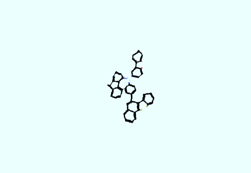 CC1(C)c2ccccc2-c2c(N(c3ccc(-c4cc5ccccc5c5sc6ccccc6c45)cc3)c3ccc4oc5ccccc5c4c3)cccc21